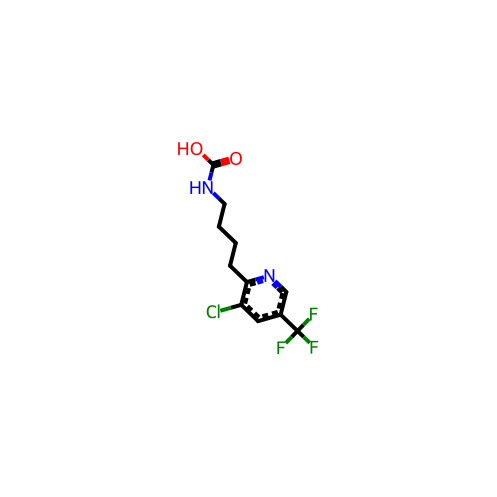 O=C(O)NCCCCc1ncc(C(F)(F)F)cc1Cl